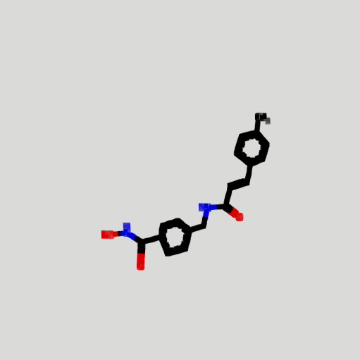 Cc1ccc(C=CC(=O)NCc2ccc(C(=O)NO)cc2)cc1